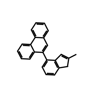 CC1=Cc2c(cccc2-c2cc3ccccc3c3ccccc23)[CH]1